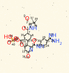 COC[C@@H](NC(=O)c1ccc(-c2ccc(OC)nc2C(=O)Nc2ccc(C(=N)N)cc2)c(C(=O)O)c1)C(C)(C)C.CS(=O)(=O)O